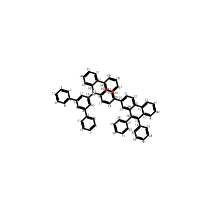 c1ccc(-c2cc(-c3ccccc3)cc(N(c3ccc(-c4ccc5c(c4)c(-c4ccccc4)c(-c4ccccc4)c4ccccc45)cc3)c3ccccc3-c3ccccc3)c2)cc1